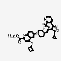 COC(=O)c1cc(OC2CCC2)c2cc(N3CCC(/C=C/c4c(-c5cccnc5C(F)(F)F)noc4C4CC4)CC3)ccc2n1